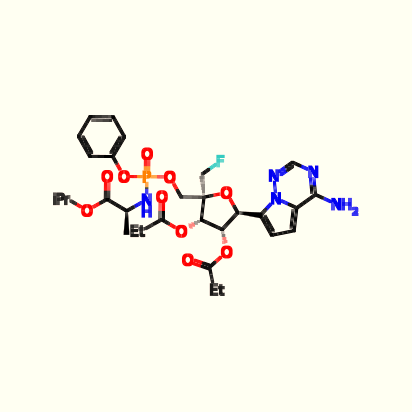 CCC(=O)O[C@H]1[C@H](c2ccc3c(N)ncnn23)O[C@](CF)(COP(=O)(N[C@@H](C)C(=O)OC(C)C)Oc2ccccc2)[C@H]1OC(=O)CC